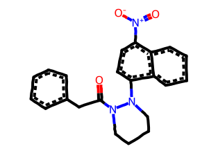 O=C(Cc1ccccc1)N1CCCCN1c1ccc([N+](=O)[O-])c2ccccc12